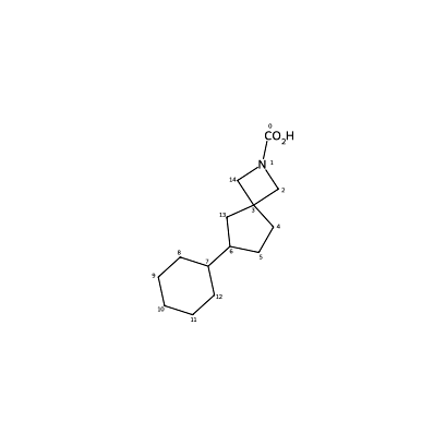 O=C(O)N1CC2(CCC(C3CCCCC3)C2)C1